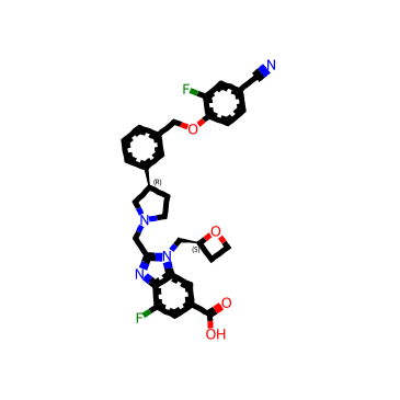 N#Cc1ccc(OCc2cccc([C@H]3CCN(Cc4nc5c(F)cc(C(=O)O)cc5n4C[C@@H]4CCO4)C3)c2)c(F)c1